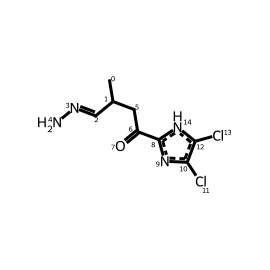 CC(C=NN)CC(=O)c1nc(Cl)c(Cl)[nH]1